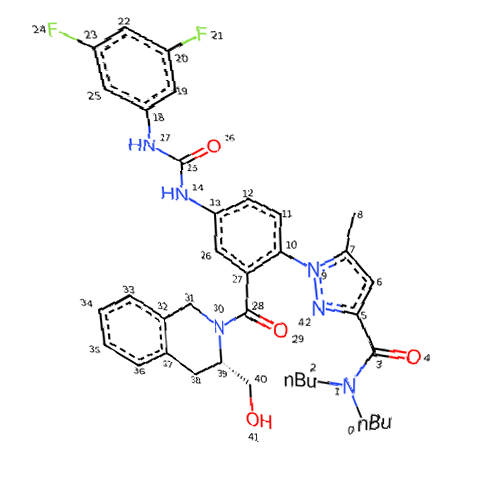 CCCCN(CCCC)C(=O)c1cc(C)n(-c2ccc(NC(=O)Nc3cc(F)cc(F)c3)cc2C(=O)N2Cc3ccccc3C[C@H]2CO)n1